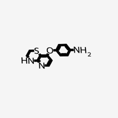 Nc1ccc(Oc2ccnc3c2SCCN3)cc1